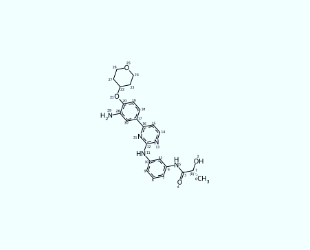 C[C@@H](O)C(=O)Nc1cccc(Nc2nccc(-c3ccc(OC4CCOCC4)c(N)c3)n2)c1